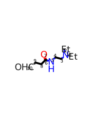 CCN(CC)CCNC(=O)CCC=O